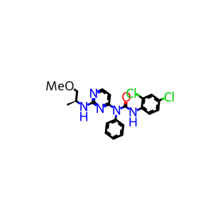 COC[C@H](C)Nc1nccc(N(C(=O)Nc2ccc(Cl)cc2Cl)c2ccccc2)n1